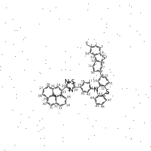 Cc1ccc2sc3cc(-c4ccc5c(c4)N(c4ccc(-c6nc(-c7cc8cccc9ccc%10cccc7c%10c98)ns6)cc4)c4ccccc4S5)ccc3c2c1